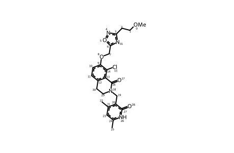 COCCc1noc(COc2ccc3c(c2Cl)C(=O)N(Cc2c(C)cc(C)[nH]c2=O)CC3)n1